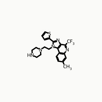 Cc1ccc2c(c1)nc(C(F)(F)F)c1nc(-c3cccs3)n(CCN3CCNCC3)c12